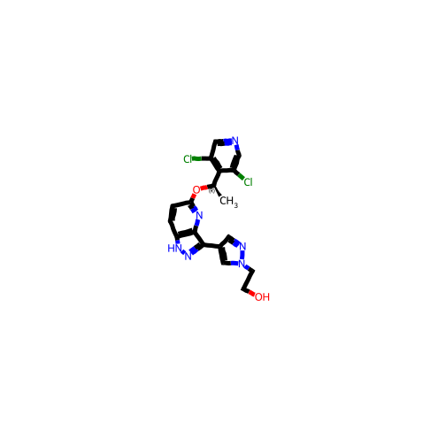 C[C@@H](Oc1ccc2[nH]nc(-c3cnn(CCO)c3)c2n1)c1c(Cl)cncc1Cl